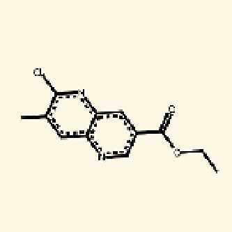 CCOC(=O)c1cnc2cc(C)c(Cl)nc2c1